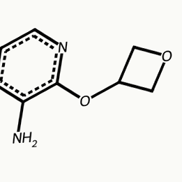 Nc1cccnc1OC1COC1